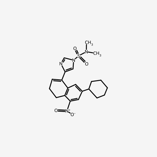 CN(C)S(=O)(=O)n1cnc(C2=CCCc3c2cc(C2CCCCC2)cc3[N+](=O)[O-])c1